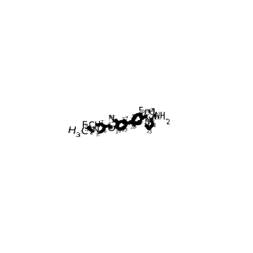 CC(C)(F)CN1CCC(COc2ccc(-c3ccc(C(=O)N4CCC[C@H]4C(N)=O)c(F)c3)cc2C#N)CC1